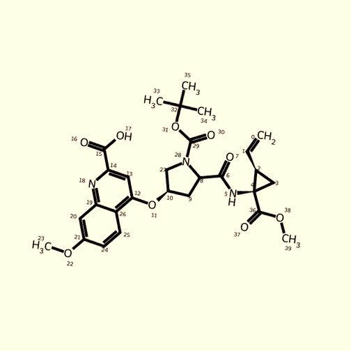 C=C[C@H]1C[C@]1(NC(=O)C1C[C@@H](Oc2cc(C(=O)O)nc3cc(OC)ccc23)CN1C(=O)OC(C)(C)C)C(=O)OC